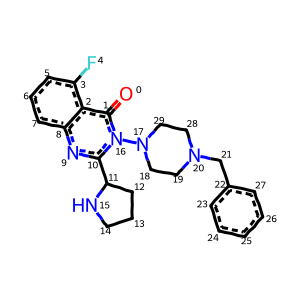 O=c1c2c(F)cccc2nc(C2CCCN2)n1N1CCN(Cc2ccccc2)CC1